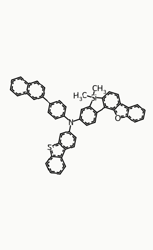 C[Si]1(C)c2cc(N(c3ccc(-c4ccc5ccccc5c4)cc3)c3ccc4c(c3)sc3ccccc34)ccc2-c2c1ccc1c2oc2ccccc21